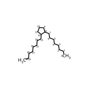 CCCCCCCCC1CCCC1CCCCCCCC